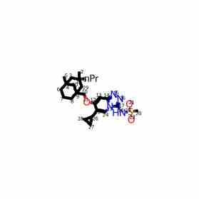 CCCC1(C)CC2(C)CCCC(COc3cc4nnc(NS(C)(=O)=O)n4cc3C3CC3)(C1)C2